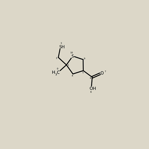 CC1(CS)CC(C(=O)O)CS1